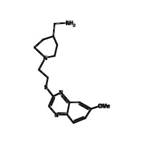 COc1ccc2ncc(SCCN3CCC(CN)CC3)nc2c1